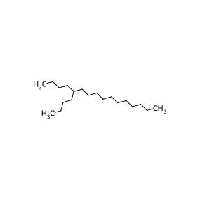 CCCCCCCCCCC[C](CCCC)CCCC